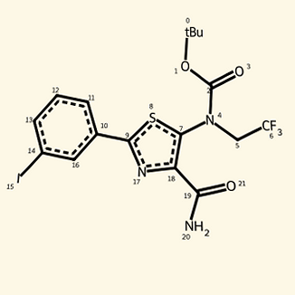 CC(C)(C)OC(=O)N(CC(F)(F)F)c1sc(-c2cccc(I)c2)nc1C(N)=O